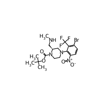 CNC[C@H]1CN(c2c([N+](=O)[O-])ccc(Br)c2C(F)(F)F)CCN1C(=O)OC(C)(C)C